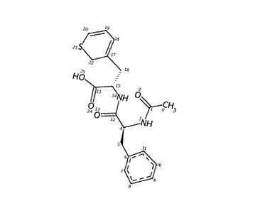 CC(=O)N[C@@H](Cc1ccccc1)C(=O)N[C@@H](CC1=CC=CSC1)C(=O)O